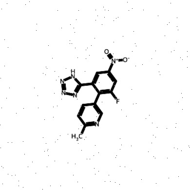 Cc1ccc(-c2c(F)cc([N+](=O)[O-])cc2-c2nnn[nH]2)cn1